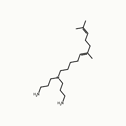 CC(C)=CCCC(C)=C[CH]CCCN(CCCN)CCCN